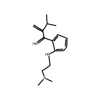 C=C(C(=N)c1ccccc1NCCN(C)C)C(C)C